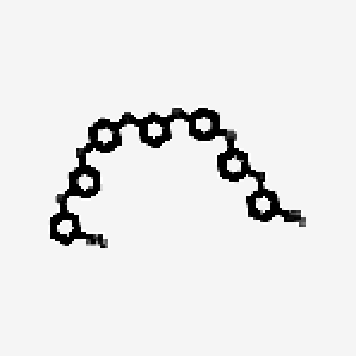 Nc1cccc(Oc2cccc(Oc3ccc(Oc4cccc(Oc5ccc(Oc6cccc(Oc7cccc(N)c7)c6)cc5)c4)cc3)c2)c1